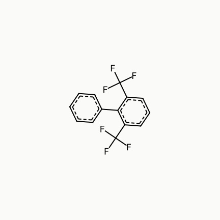 FC(F)(F)c1cccc(C(F)(F)F)c1-c1ccccc1